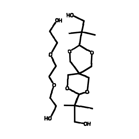 CC(C)(CO)C1OCC2(CO1)COC(C(C)(C)CO)OC2.OCCOCCOCCO